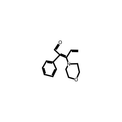 C=CC(=C(C=O)c1ccccc1)N1CCOCC1